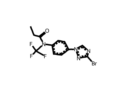 CCC(=O)N(c1ccc(-n2cnc(Br)n2)cc1)C(F)(F)F